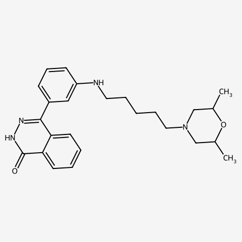 CC1CN(CCCCCNc2cccc(-c3n[nH]c(=O)c4ccccc34)c2)CC(C)O1